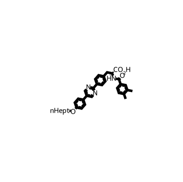 CCCCCCCOc1ccc(-c2cnc(-c3ccc(C[C@H](NC(=O)c4ccc(C)c(C)c4)C(=O)O)cc3)nc2)cc1